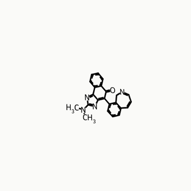 CN(C)C1=NC2=C(c3cccc4c3CN=CC=C4)C(=O)c3ccccc3C2=N1